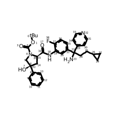 CC(C)(C)OC(=O)N1C[C@@](O)(c2ccccc2)C[C@@H]1C(=O)Nc1cc(C(N)(CCC2CC2)c2ccncc2)ccc1F